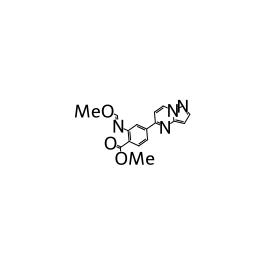 COC=Nc1cc(-c2ccn3nccc3n2)ccc1C(=O)OC